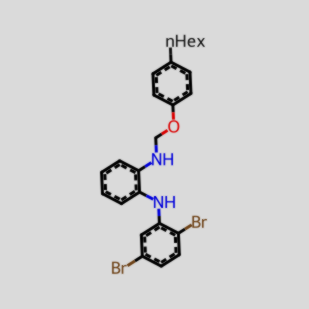 CCCCCCc1ccc(OCNc2ccccc2Nc2cc(Br)ccc2Br)cc1